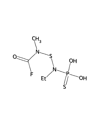 CCN(SN(C)C(=O)F)P(O)(O)=S